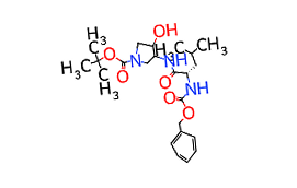 CC(C)C[C@H](NC(=O)OCc1ccccc1)C(=O)NC1CN(C(=O)OC(C)(C)C)CC1O